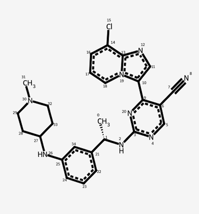 C[C@H](Nc1ncc(C#N)c(-c2cnc3c(Cl)cccn23)n1)c1cccc(NC2CCN(C)CC2)c1